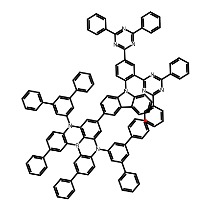 c1ccc(-c2cc(-c3ccccc3)cc(N3c4ccc(-c5ccccc5)cc4B4c5cc(-c6ccccc6)ccc5N(c5cc(-c6ccccc6)cc(-c6ccccc6)c5)c5cc(-c6ccc7c(c6)c6ccccc6n7-c6ccc(-c7nc(-c8ccccc8)nc(-c8ccccc8)n7)cc6-c6nc(-c7ccccc7)nc(-c7ccccc7)n6)cc3c54)c2)cc1